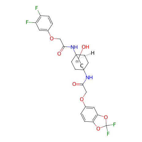 O=C(COc1ccc2c(c1)OC(F)(F)O2)NC12CCC(NC(=O)COc3ccc(F)c(F)c3)(CC1)[C@@H](O)C2